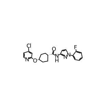 O=C(Nc1ccn(-c2ccccc2F)n1)[C@H]1CC[C@@H](Oc2cc(Cl)ccn2)CC1